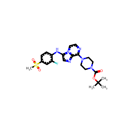 CC(C)(C)OC(=O)N1CCN(c2nccn3c(Nc4ccc(S(C)(=O)=O)cc4F)cnc23)CC1